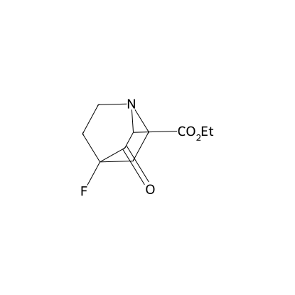 CCOC(=O)C1C(=O)C2(F)CCN1CC2